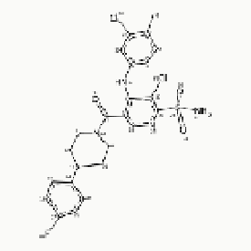 Cc1ccc(Nc2c(C(=O)N3CCC(c4ccc(F)cc4)CC3)cnc(S(N)(=O)=O)c2Cl)cc1Cl